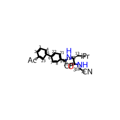 CC(=O)c1cccc(-c2ccc([C@H](N[C@@H](CC(C)C)C(=O)NCC#N)C(F)(F)F)cc2)c1